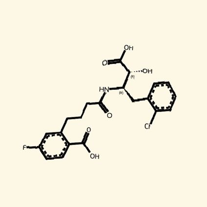 O=C(CCCc1cc(F)ccc1C(=O)O)N[C@H](Cc1ccccc1Cl)[C@@H](O)C(=O)O